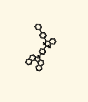 c1ccc(-c2ccc(-c3nc(-c4ccc(-n5c6ccc7ccccc7c6c6c7ccccc7ccc65)cc4)nc4ccccc34)cc2)cc1